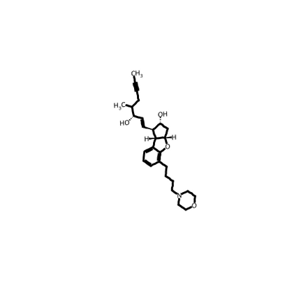 CC#CCC(C)[C@@H](O)/C=C/[C@@H]1[C@H]2c3cccc(CCCCN4CCOCC4)c3O[C@H]2C[C@H]1O